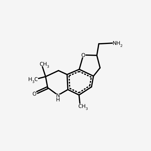 Cc1cc2c(c3c1NC(=O)C(C)(C)C3)OC(CN)C2